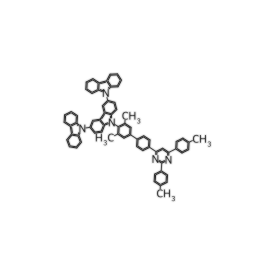 Cc1ccc(-c2cc(-c3ccc(-c4cc(C)c(-n5c6ccc(-n7c8ccccc8c8ccccc87)cc6c6cc(-n7c8ccccc8c8ccccc87)ccc65)c(C)c4)cc3)nc(-c3ccc(C)cc3)n2)cc1